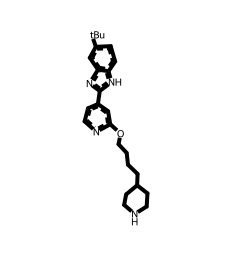 CC(C)(C)c1ccc2[nH]c(-c3ccnc(OCCCCC4CCNCC4)c3)nc2c1